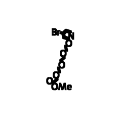 COC(=O)COCCOCCOCCOc1cc(Br)ccn1